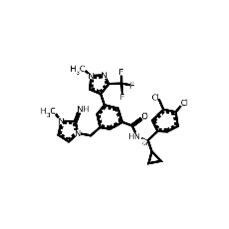 Cn1cc(-c2cc(Cn3ccn(C)c3=N)cc(C(=O)N[C@H](c3ccc(Cl)c(Cl)c3)C3CC3)c2)c(C(F)(F)F)n1